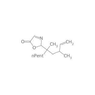 C=CC(C)CC(C)(CCCCC)C1N=CC(=O)O1